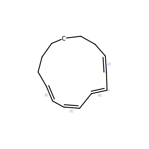 [C]1=C/C=C\C=C\CCCCCC\C=C/1